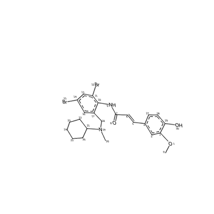 COc1cc(C=CC(=O)Nc2c(Br)cc(Br)cc2CN(C)C2CCCCC2)ccc1O